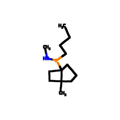 CCCCP(NC)C12CCCC1(C)CC2